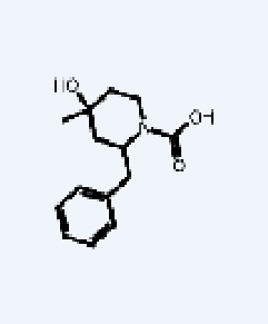 CC1(O)CCN(C(=O)O)C(Cc2ccccc2)C1